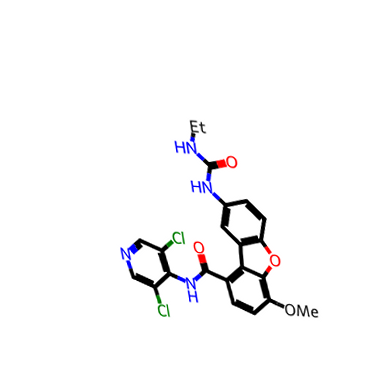 CCNC(=O)Nc1ccc2oc3c(OC)ccc(C(=O)Nc4c(Cl)cncc4Cl)c3c2c1